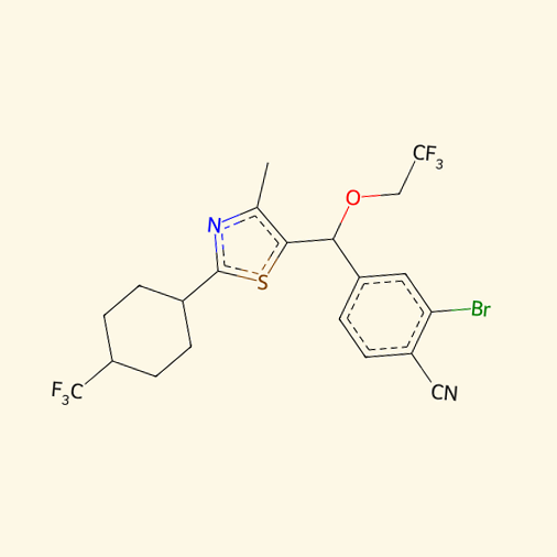 Cc1nc(C2CCC(C(F)(F)F)CC2)sc1C(OCC(F)(F)F)c1ccc(C#N)c(Br)c1